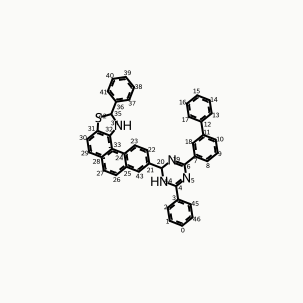 c1ccc(C2=NC(c3cccc(-c4ccccc4)c3)=NC(c3ccc4c(ccc5ccc6c(c54)NC(c4ccccc4)S6)c3)N2)cc1